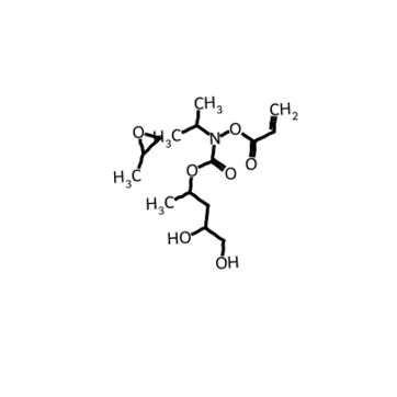 C=CC(=O)ON(C(=O)OC(C)CC(O)CO)C(C)C.CC1CO1